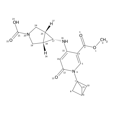 COC(=O)c1cn(C23CC(C2)C3)c(=O)cc1N[C@@H]1[C@@H]2CN(C(=O)O)C[C@@H]21